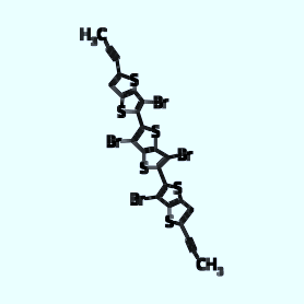 CC#Cc1cc2sc(-c3sc4c(Br)c(-c5sc6cc(C#CC)sc6c5Br)sc4c3Br)c(Br)c2s1